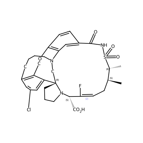 C[C@@H]1[C@@H](C)C/C=C(\F)[C@H](C(=O)O)N2CCC[C@@]23CN2CCCCc4cc(Cl)cc3c4COc3ccc(cc32)C(=O)NS1(=O)=O